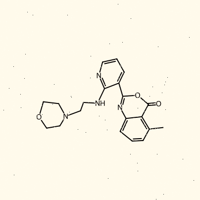 Cc1cccc2nc(-c3cccnc3NCCN3CCOCC3)oc(=O)c12